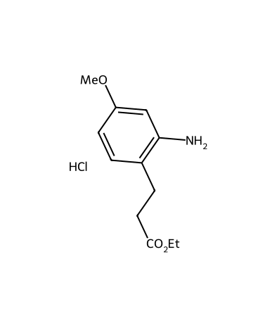 CCOC(=O)CCc1ccc(OC)cc1N.Cl